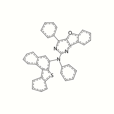 c1ccc(-c2nc(N(c3ccccc3)c3cc4ccccc4c4c3sc3ccccc34)nc3c2oc2ccccc23)cc1